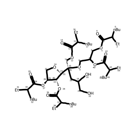 CCCCC(CC)C(=O)OCC(CO[C@@](COC(=O)C(CC)CCCC)(CC(O)CO)[C@H]1OC[C@H](OC(=O)C(CC)CCCC)[C@H]1OC(=O)C(CC)CCCC)OC(=O)C(CC)CCCC